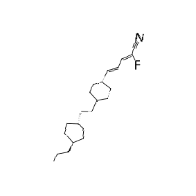 CCC[C@H]1CC[C@H](CCC2CCC(C=CC=C(F)C#N)CC2)CC1